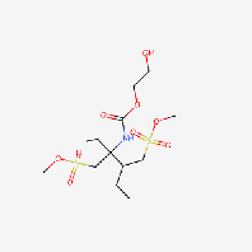 CCC(CS(=O)(=O)OC)C(CC)(CS(=O)(=O)OC)NC(=O)OCCO